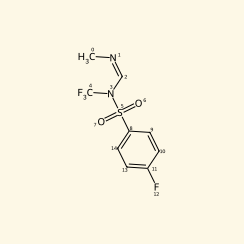 C/N=C\N(C(F)(F)F)S(=O)(=O)c1ccc(F)cc1